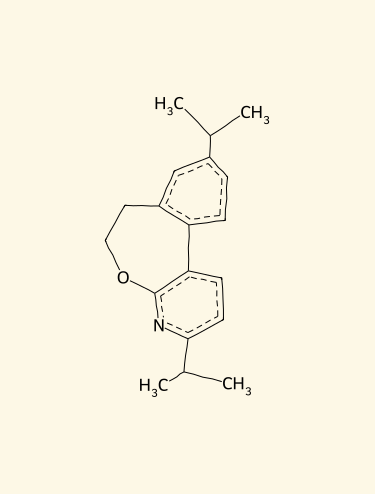 CC(C)c1ccc2c(c1)CCOc1nc(C(C)C)ccc1-2